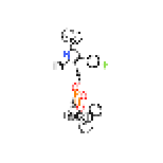 CC(C)c1nc(C23CC4CC(CC(C4)C2)C3)cc(-c2ccc(F)cc2)c1C#CCO[PH](=O)C[C@H](CC(=O)O)O[Si](c1ccccc1)(c1ccccc1)C(C)(C)C